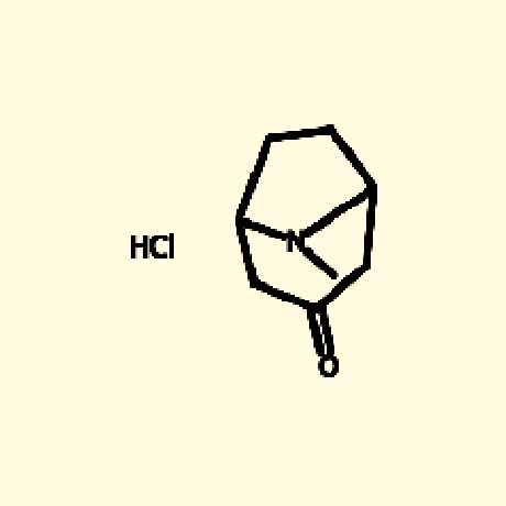 CN1C2CCC1CC(=O)C2.Cl